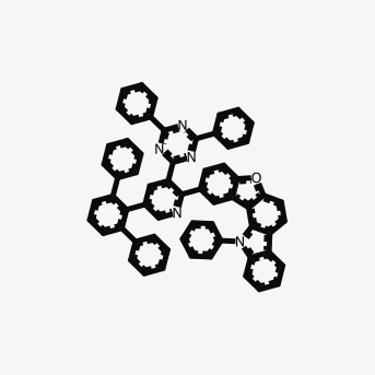 c1ccc(-c2nc(-c3ccccc3)nc(-c3cc(-c4c(-c5ccccc5)cccc4-c4ccccc4)cnc3-c3ccc4oc5ccc6c7ccccc7n(-c7ccccc7)c6c5c4c3)n2)cc1